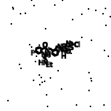 CCNCCNc1cc(F)ccc1C(=O)NCc1cccc2c1cnn2NS(=O)(=O)c1ncc(Cl)s1